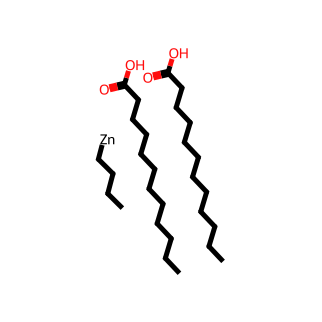 CCCCCCCCCCCC(=O)O.CCCCCCCCCCCC(=O)O.CCC[CH2][Zn]